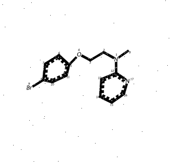 CN(CCOc1ccc(Br)cc1)c1ccccn1